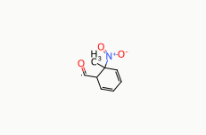 CC1([N+](=O)[O-])C=CC=CC1[C]=O